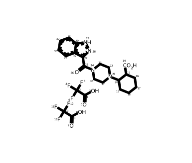 O=C(O)C(F)(F)F.O=C(O)C(F)(F)F.O=C(O)C1CCCCC1N1CCN(C(=O)c2n[nH]c3ccccc23)CC1